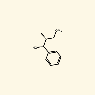 COC[C@H](C)[C@@H](O)c1ccccc1